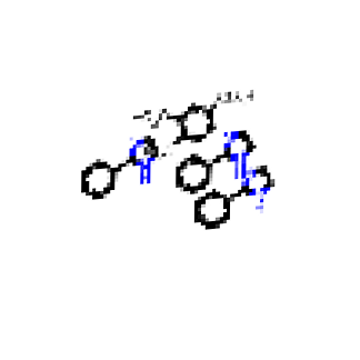 O=C(O)c1ccc(C(=O)O)c(C(=O)O)c1.c1ccc(-c2ncc[nH]2)cc1.c1ccc(-c2ncc[nH]2)cc1.c1ccc(-c2ncc[nH]2)cc1